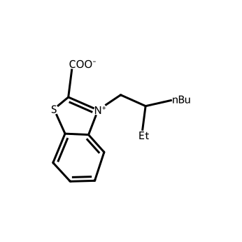 CCCCC(CC)C[n+]1c(C(=O)[O-])sc2ccccc21